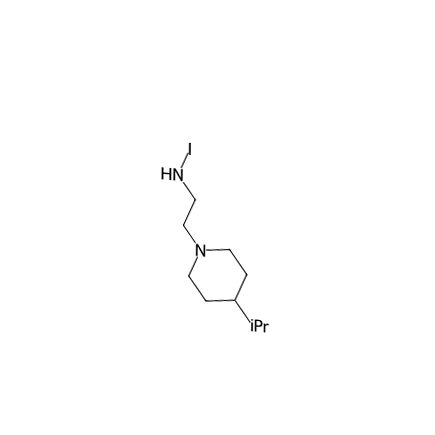 CC(C)C1CCN(CCNI)CC1